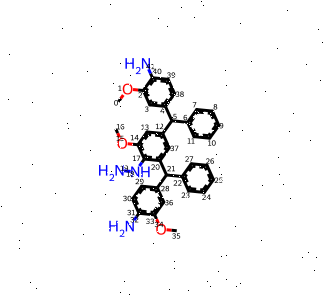 COc1cc(C(c2ccccc2)c2cc(OC)c(NN)c(C(c3ccccc3)c3ccc(N)c(OC)c3)c2)ccc1N